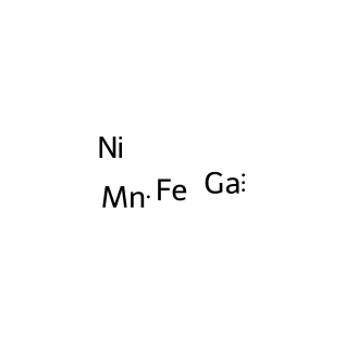 [Fe].[Ga].[Mn].[Ni]